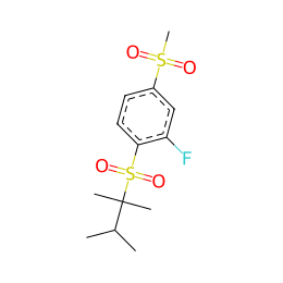 CC(C)C(C)(C)S(=O)(=O)c1ccc(S(C)(=O)=O)cc1F